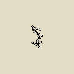 Cc1ccc(-c2ccccc2)cc1N(c1ccc2cc3c(cc2c1)oc1c(-c2ccccc2)c2oc4cc5cc(N(c6cc(-c7ccccc7)ccc6C)c6cc(-c7ccccc7)ccc6C)ccc5cc4c2cc13)c1cc(-c2ccccc2)ccc1C